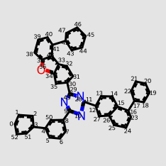 c1ccc(-c2cccc(-c3nc(-c4ccc5c(-c6ccccc6)cccc5c4)nc(-c4ccc5c(c4)oc4cccc(-c6ccccc6)c45)n3)c2)cc1